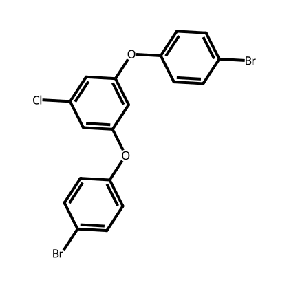 Clc1cc(Oc2ccc(Br)cc2)cc(Oc2ccc(Br)cc2)c1